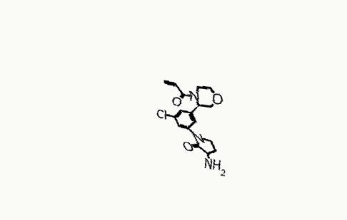 C=CC(=O)N1CCOC[C@H]1c1cc(Cl)cc(N2CCC(N)C2=O)c1